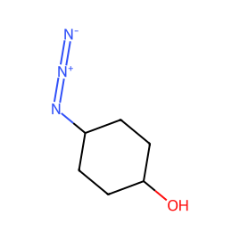 [N-]=[N+]=NC1CCC(O)CC1